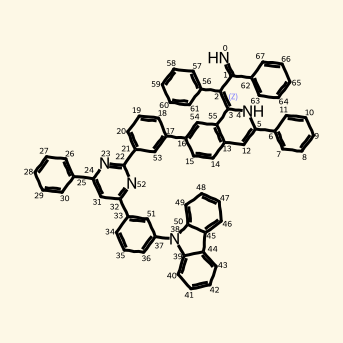 N=C(/C(=C1\NC(c2ccccc2)=Cc2ccc(-c3cccc(-c4nc(-c5ccccc5)cc(-c5cccc(-n6c7ccccc7c7ccccc76)c5)n4)c3)cc21)c1ccccc1)c1ccccc1